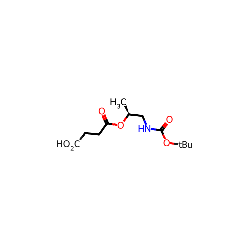 C[C@@H](CNC(=O)OC(C)(C)C)OC(=O)CCC(=O)O